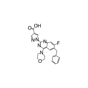 O=C(O)c1cnn(-c2nc(N3CCOCC3)c3cc(Cc4ccccc4)c(F)cc3n2)c1